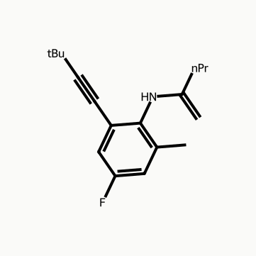 C=C(CCC)Nc1c(C)cc(F)cc1C#CC(C)(C)C